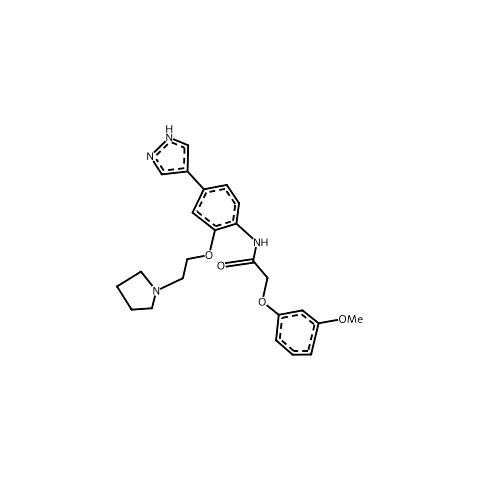 COc1cccc(OCC(=O)Nc2ccc(-c3cn[nH]c3)cc2OCCN2CCCC2)c1